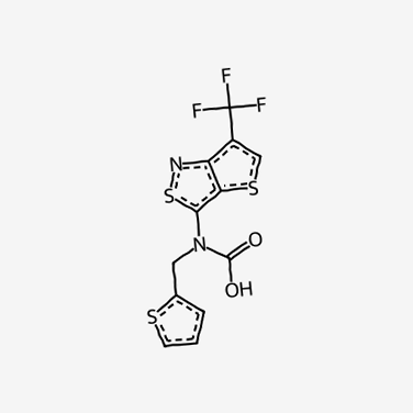 O=C(O)N(Cc1cccs1)c1snc2c(C(F)(F)F)csc12